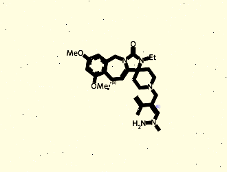 C=C(C)/C(=C\N(C)N)CN1CCC2(CC1)C1=C[C@H](C)c3c(cc(OC)cc3OC)CN1C(=O)N2CC